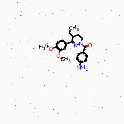 CCC1CCN(C(=O)c2ccc(N)cc2)N=C1c1ccc(OC)c(OC)c1